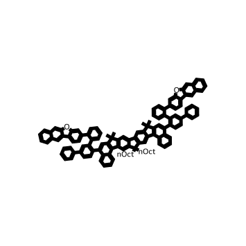 CCCCCCCCC1(CCCCCCCC)c2cc3c(cc2-c2cc4c(cc21)-c1c(cc(-c2ccc(-c5ccccc5)cc2-c2ccccc2-c2ccc5c(c2)oc2cc6ccccc6cc25)c2ccccc12)C4(C)C)C(C)(C)c1cc(-c2ccc(-c4ccccc4)cc2-c2ccccc2-c2ccc4c(c2)oc2cc5ccccc5cc24)c2ccccc2c1-3